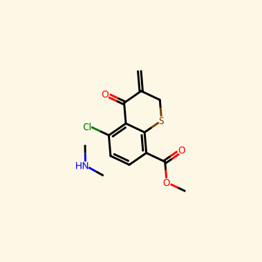 C=C1CSc2c(C(=O)OC)ccc(Cl)c2C1=O.CNC